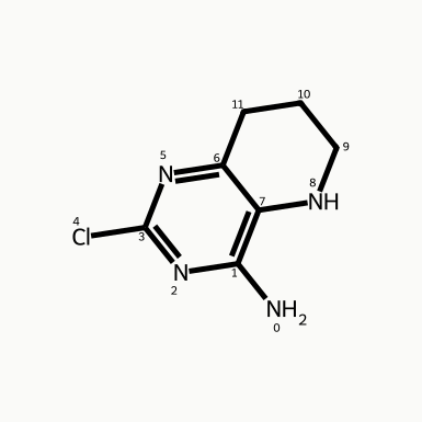 Nc1nc(Cl)nc2c1NCCC2